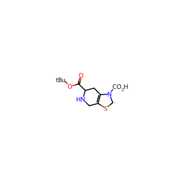 CC(C)(C)OC(=O)C1CC2=C(CN1)S[CH]N2C(=O)O